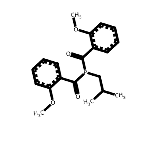 COc1ccccc1C(=O)P(CC(C)C)C(=O)c1ccccc1OC